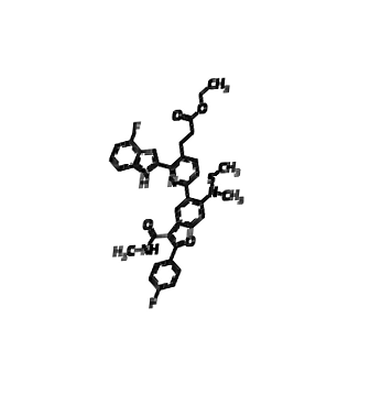 CCOC(=O)CCc1ccc(-c2cc3c(C(=O)NC)c(-c4ccc(F)cc4)oc3cc2N(C)SC)nc1-c1cc2c(F)cccc2[nH]1